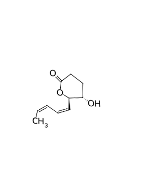 C/C=C\C=C/[C@H]1OC(=O)CC[C@@H]1O